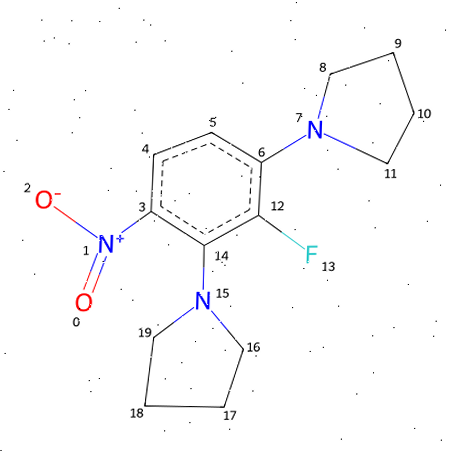 O=[N+]([O-])c1ccc(N2CCCC2)c(F)c1N1CCCC1